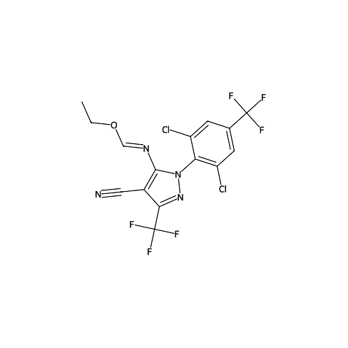 CCOC=Nc1c(C#N)c(C(F)(F)F)nn1-c1c(Cl)cc(C(F)(F)F)cc1Cl